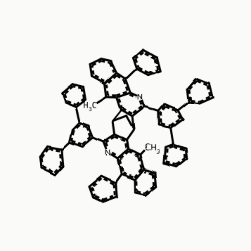 Cc1c2ccccc2c(-c2ccccc2)c2nc(-c3cc(-c4ccccc4)cc(-c4ccccc4)c3)c3c(c12)C1CC3c2c1c(-c1cc(-c3ccccc3)cc(-c3ccccc3)c1)nc1c(-c3ccccc3)c3ccccc3c(C)c21